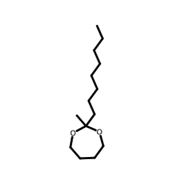 CCCCCCCCC1(C)OCCCCO1